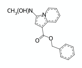 CN(O)c1cc(C(=O)OCc2ccccc2)c2ccccn12